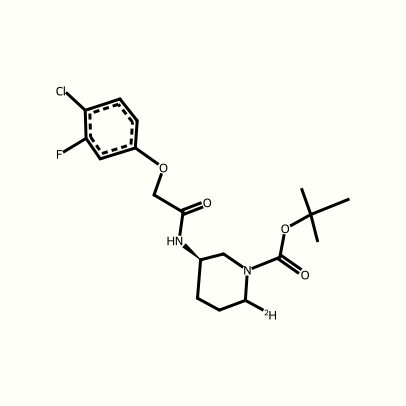 [2H]C1CC[C@@H](NC(=O)COc2ccc(Cl)c(F)c2)CN1C(=O)OC(C)(C)C